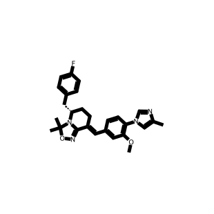 COc1cc(/C=C2\CC[C@@H](Cc3ccc(F)cc3)N3C2=NOC3(C)C)ccc1-n1cnc(C)c1